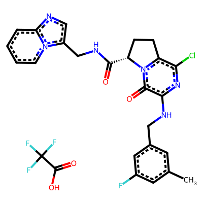 Cc1cc(F)cc(CNc2nc(Cl)c3n(c2=O)[C@H](C(=O)NCc2cnc4ccccn24)CC3)c1.O=C(O)C(F)(F)F